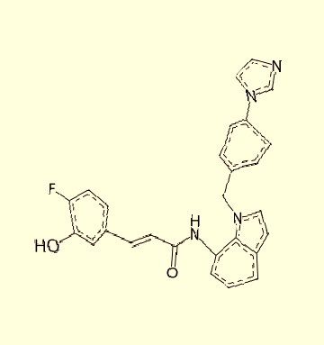 O=C(C=Cc1ccc(F)c(O)c1)Nc1cccc2ccn(Cc3ccc(-n4ccnc4)cc3)c12